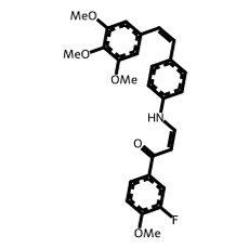 COc1ccc(C(=O)/C=C\Nc2ccc(/C=C\c3cc(OC)c(OC)c(OC)c3)cc2)cc1F